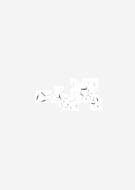 CC(C)c1c(O)nc(-n2ccnc2)nc1OCC1CN(C(=O)OCc2ccccc2)CCN1